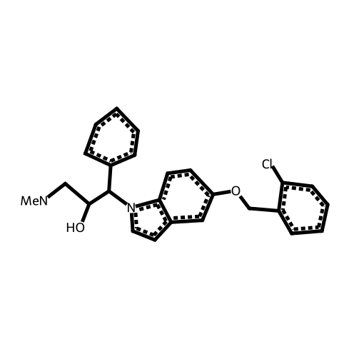 CNCC(O)C(c1ccccc1)n1ccc2cc(OCc3ccccc3Cl)ccc21